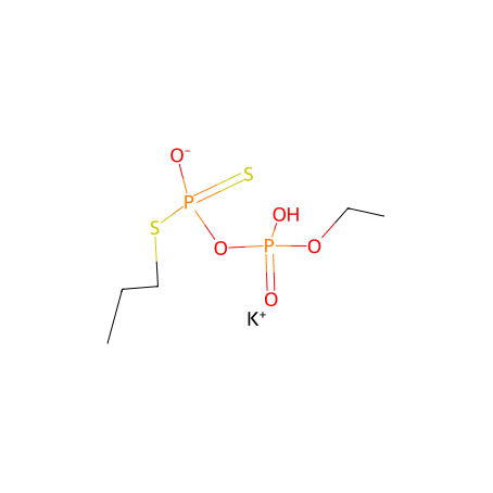 CCCSP([O-])(=S)OP(=O)(O)OCC.[K+]